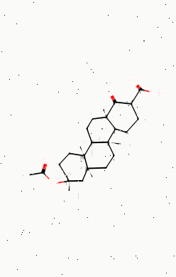 CC(=O)O[C@]1(C)CC[C@H]2[C@H](CC[C@@H]3[C@@H]2CC[C@]2(C)C(=O)C(C(=O)O)CC[C@@H]32)C1